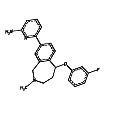 CN1CCC(Oc2cccc(F)c2)c2ccc(-c3cccc(N)n3)cc2C1